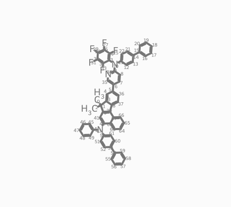 CC1(C)c2cc(-c3ccc(N(c4ccc(-c5ccccc5)cc4)c4c(F)c(F)c(F)c(F)c4F)nc3)ccc2-c2c1cc(N(c1ccccc1)c1ccc(-c3ccccc3)cc1)c1ccccc21